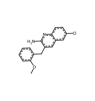 COc1ccccc1Cc1cc2cc(Cl)ccc2nc1N